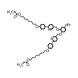 C=CC(=O)OCCCCCCCCOc1ccc(-c2ccc(COc3ccc(CCC)cc3OCc3ccc(-c4ccc(OCCCCCCCCOC(=O)C=C)cc4)nc3)cn2)cc1